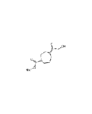 CC(C)(C)OC(=O)N1CCCC(=C(F)CO)CC1